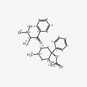 CCC(=O)O[C@]1(c2ccccc2)CCN(C)C[C@@H]1C.CCN(CC)C(C)C(=O)c1ccccc1